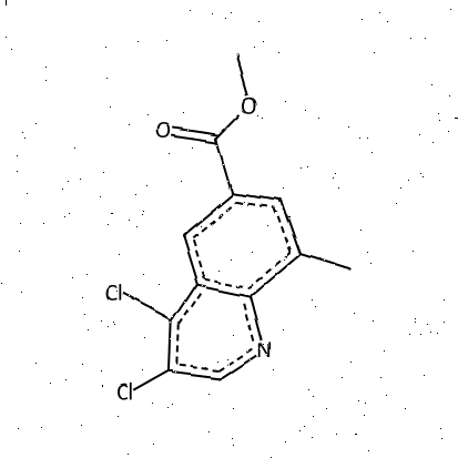 COC(=O)c1cc(C)c2ncc(Cl)c(Cl)c2c1